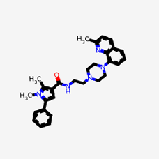 Cc1ccc2cccc(N3CCN(CCNC(=O)c4cc(-c5ccccc5)n(C)c4C)CC3)c2n1